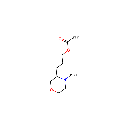 [CH2]CCCN1CCOCC1CCCOC(=O)CCC